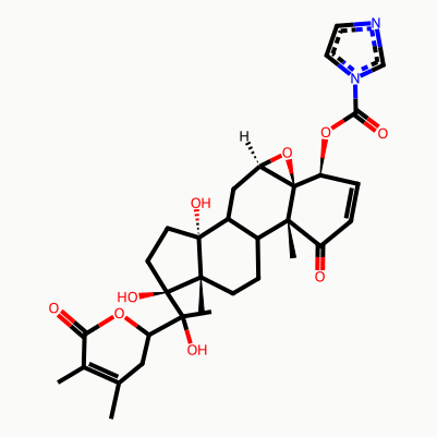 CC1=C(C)C(=O)OC(C(C)(O)[C@]2(O)CC[C@@]3(O)C4C[C@H]5O[C@]56[C@@H](OC(=O)n5ccnc5)C=CC(=O)[C@]6(C)C4CC[C@@]32C)C1